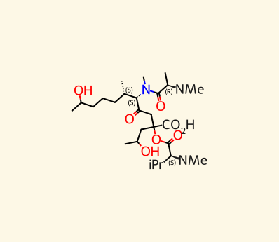 CN[C@H](C(=O)OC(CC(=O)[C@H]([C@@H](C)CCCC(C)O)N(C)C(=O)[C@@H](C)NC)(CC(C)O)C(=O)O)C(C)C